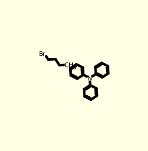 CCCCBr.c1ccc(N(c2ccccc2)c2ccccc2)cc1